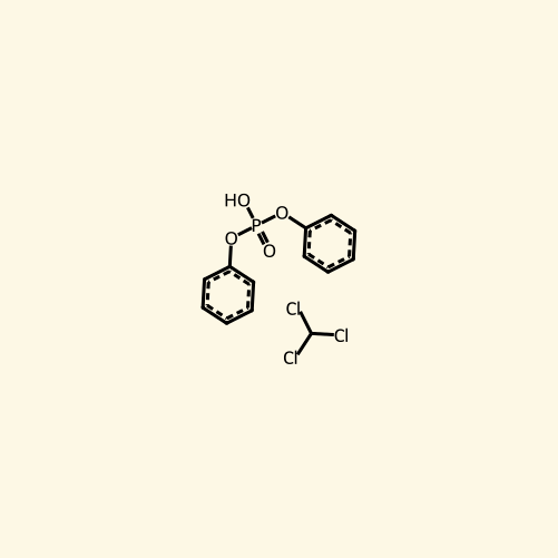 ClC(Cl)Cl.O=P(O)(Oc1ccccc1)Oc1ccccc1